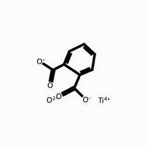 O=C([O-])c1ccccc1C(=O)[O-].[O-2].[Ti+4]